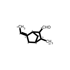 CC=C1CC2C[C]1C(C=O)C2C